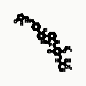 C=C(O)C(CO)NCc1cc(Cl)c(CNc2cccc(-c3cccc(-c4ccc(CNCC5CCC(=O)N5)cc4)c3Cl)c2C(=N)F)cc1OC